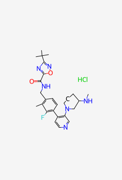 CNC1CCCN(c2cnccc2-c2ccc(CNC(=O)c3nc(C(C)(C)C)no3)c(C)c2F)C1.Cl